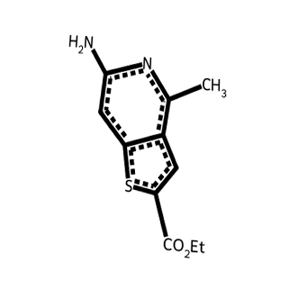 CCOC(=O)c1cc2c(C)nc(N)cc2s1